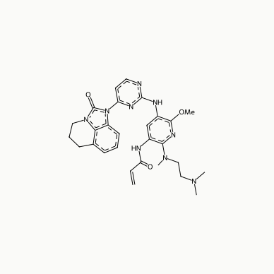 C=CC(=O)Nc1cc(Nc2nccc(-n3c(=O)n4c5c(cccc53)CCC4)n2)c(OC)nc1N(C)CCN(C)C